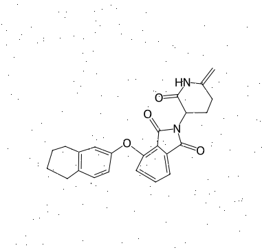 C=C1CCC(N2C(=O)c3cccc(Oc4ccc5c(c4)CCCC5)c3C2=O)C(=O)N1